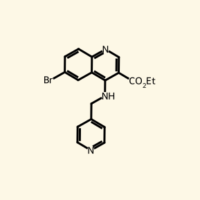 CCOC(=O)c1cnc2ccc(Br)cc2c1NCc1ccncc1